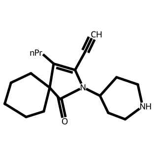 C#CC1=C(CCC)C2(CCCCC2)C(=O)N1C1CCNCC1